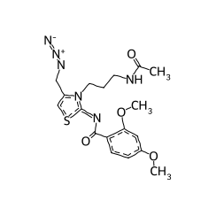 COc1ccc(C(=O)N=c2scc(CN=[N+]=[N-])n2CCCNC(C)=O)c(OC)c1